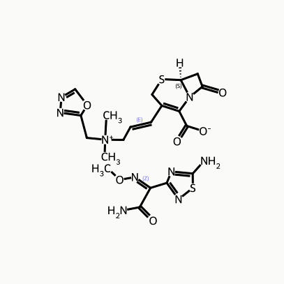 CO/N=C(\C(N)=O)c1nsc(N)n1.C[N+](C)(C/C=C/C1=C(C(=O)[O-])N2C(=O)C[C@@H]2SC1)Cc1nnco1